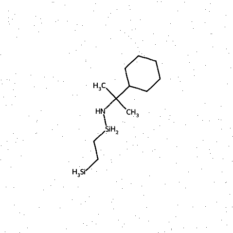 CC(C)(N[SiH2]CC[SiH3])C1CCCCC1